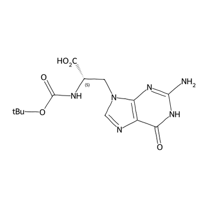 CC(C)(C)OC(=O)N[C@@H](Cn1cnc2c(=O)[nH]c(N)nc21)C(=O)O